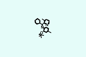 Cc1ccc(N=C(c2ccccc2)c2ncccc2C)c(O[Si](C)(C)C)c1